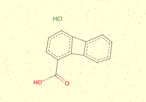 Cl.O=C(O)c1cccc2c1-c1ccccc1-2